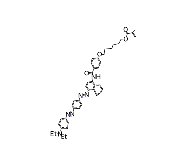 C=C(C)C(=O)OCCCCCCOc1ccc(C(=O)Nc2ccc(/N=N/c3ccc(/N=N/c4ccc(N(CC)CC)cc4)cc3)c3ccccc23)cc1